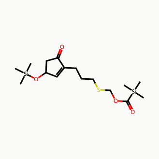 C[Si](C)(C)OC1C=C(CCCSCOC(=O)[Si](C)(C)C)C(=O)C1